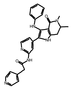 CC1Cc2[nH]c(-c3ccnc(NC(=O)Cc4ccncc4)c3)c(Nc3ccccc3)c2C(=O)N1C